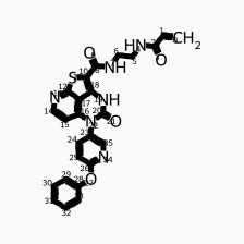 C=CC(=O)NCCNC(=O)c1sc2nccc3c2c1NC(=O)N3c1ccc(Oc2ccccc2)nc1